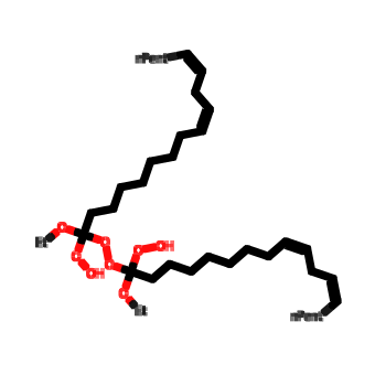 CCCCC/C=C\C/C=C\CCCCCCCC(OO)(OCC)OOC(CCCCCCC/C=C\C/C=C\CCCCC)(OO)OCC